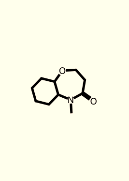 CN1C(=O)CCOC2CCCCC21